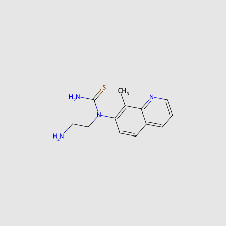 Cc1c(N(CCN)C(N)=S)ccc2cccnc12